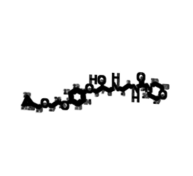 O=C(NCCNC[C@H](O)COc1ccc(OCCOCC2CC2)cc1)N1CCOCC1